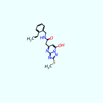 C=Cc1ccccc1CNC(=O)Cc1cc(O)n2nc(SC)nc2n1